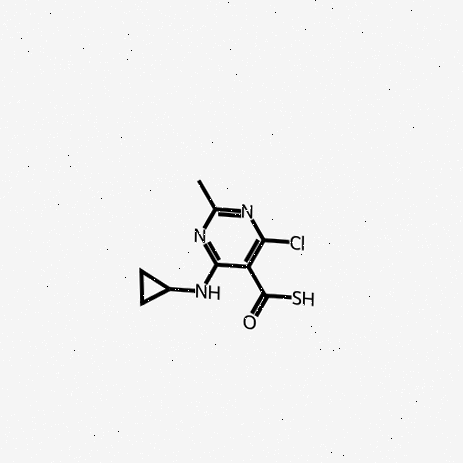 Cc1nc(Cl)c(C(=O)S)c(NC2CC2)n1